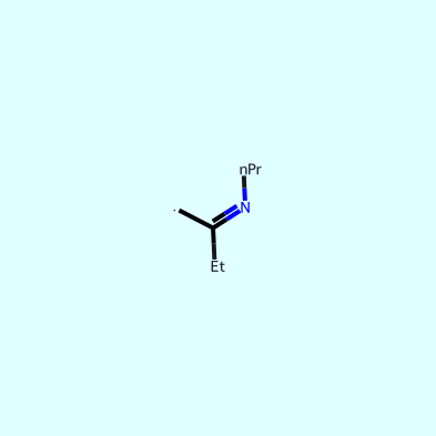 [CH2]/C(CC)=N\CCC